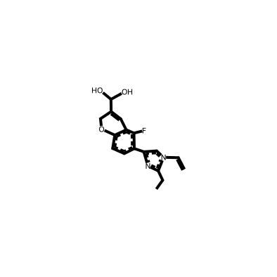 C=Cn1cc(-c2ccc3c(c2F)C=C(C(O)O)CO3)nc1CC